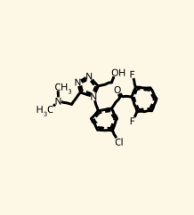 CN(C)Cc1nnc(CO)n1-c1ccc(Cl)cc1C(=O)c1c(F)cccc1F